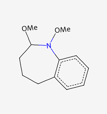 COC1CCCc2ccccc2N1OC